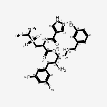 CCCC(CCC)S(=O)(=O)CC(NC(=O)c1cn[nH]c1)C(=O)O[C@H](CNCc1cccc(CC)c1)[C@@H](N)Cc1cc(F)cc(F)c1